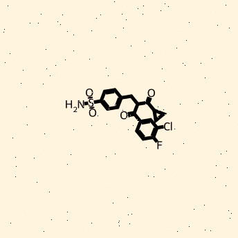 NS(=O)(=O)c1ccc(CC(C(=O)c2ccc(F)c(Cl)c2)C(=O)C2CC2)cc1